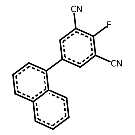 N#Cc1cc(-c2cccc3ccccc23)cc(C#N)c1F